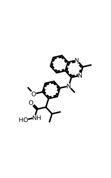 COc1ccc(N(C)c2nc(C)nc3ccccc23)cc1C(C(=O)NO)C(C)C